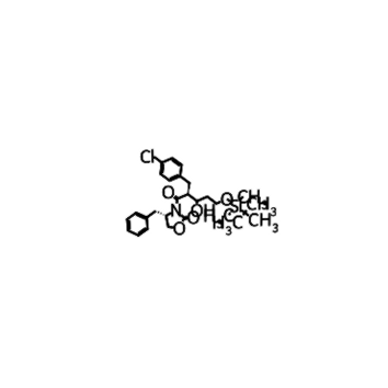 CC(C)(C)[Si](C)(C)OCC[C@@H](O)[C@H](Cc1ccc(Cl)cc1)C(=O)N1C(=O)OC[C@@H]1Cc1ccccc1